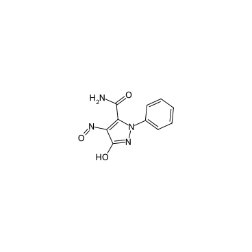 NC(=O)c1c(N=O)c(O)nn1-c1ccccc1